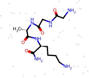 C[C@H](NC(=O)CNC(=O)CN)C(=O)N[C@@H](CCCCN)C(N)=O